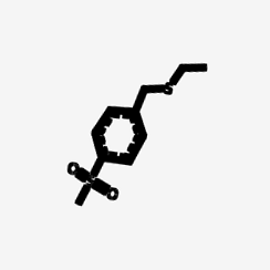 CCSCc1ccc(S(C)(=O)=O)cc1